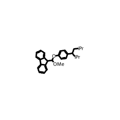 COC(Oc1ccc(C(CC(C)C)C(C)C)cc1)C1c2ccccc2-c2ccccc21